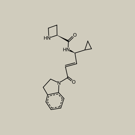 O=C(N[C@H](/C=C/C(=O)N1CCc2ccccc21)C1CC1)[C@@H]1CCN1